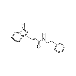 O=C(C=Cc1c[nH]c2ccccc12)NCCc1ccccc1